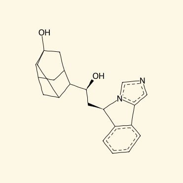 O[C@@H](C[C@@H]1c2ccccc2-c2cncn21)C1C2CC3CC1CC(O)(C3)C2